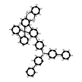 c1ccc(-c2ccc(N(c3ccc(-c4ccccc4)cc3)c3ccc(-c4ccc5c(c4)C4(c6ccccc6-c6ccccc64)c4ccc6c(c4-5)Oc4ccccc4O6)cc3)cc2)cc1